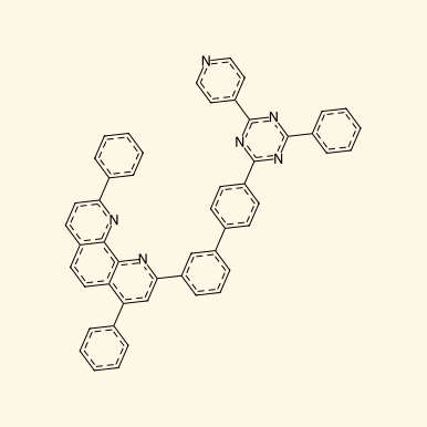 c1ccc(-c2ccc3ccc4c(-c5ccccc5)cc(-c5cccc(-c6ccc(-c7nc(-c8ccccc8)nc(-c8ccncc8)n7)cc6)c5)nc4c3n2)cc1